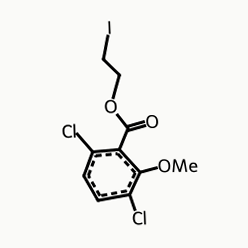 COc1c(Cl)ccc(Cl)c1C(=O)OCCI